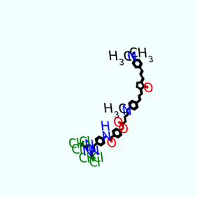 CN(C)c1ccc(/C=C/C=C2\CC/C(=C\C=C\c3ccc(N(C)CCCC(=O)Oc4ccc(C(=O)Nc5ccc(-c6nc(C(Cl)(Cl)Cl)nc(C(Cl)(Cl)Cl)n6)cc5)cc4)cc3)C2=O)cc1